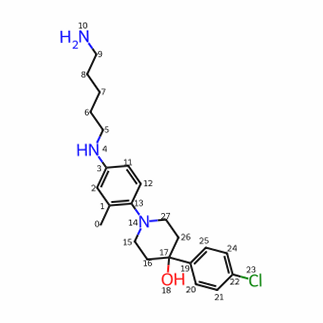 Cc1cc(NCCCCCN)ccc1N1CCC(O)(c2ccc(Cl)cc2)CC1